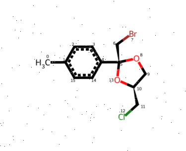 Cc1ccc([C@]2(CBr)OC[C@@H](CCl)O2)cc1